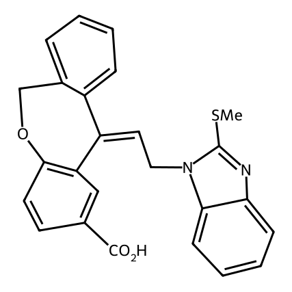 CSc1nc2ccccc2n1C/C=C1/c2ccccc2COc2ccc(C(=O)O)cc21